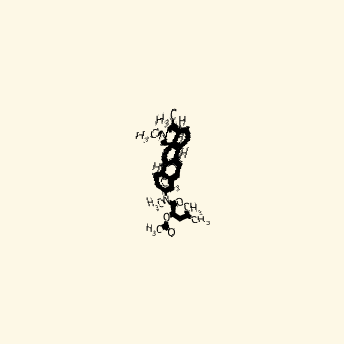 CC(=O)OC(CC(C)C)C(=O)N(C)[C@H]1CC[C@@]2(C)C(=CC[C@H]3[C@@H]4CC[C@@H]5[C@H](C)N(C)C[C@@]54CC[C@@H]32)C1